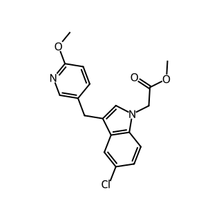 COC(=O)Cn1cc(Cc2ccc(OC)nc2)c2cc(Cl)ccc21